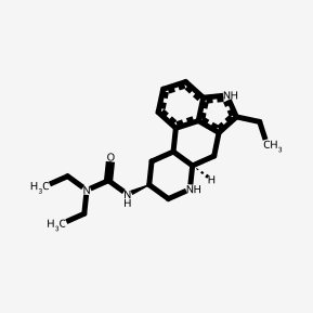 CCc1[nH]c2cccc3c2c1C[C@H]1NC[C@@H](NC(=O)N(CC)CC)CC31